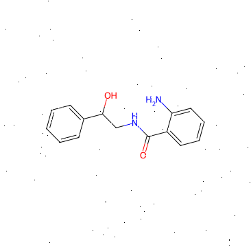 Nc1ccccc1C(=O)NCC(O)c1ccccc1